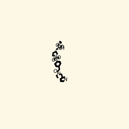 C=CS(=O)(=O)NC[C@H]1CCN(S(=O)(=O)c2ccc(CC(=O)N(CC)Cc3cccnc3)cc2)C1